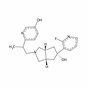 CC(CN1C[C@@H]2C[C@@](O)(c3cccnc3F)C[C@@H]2C1)c1ccc(O)cn1